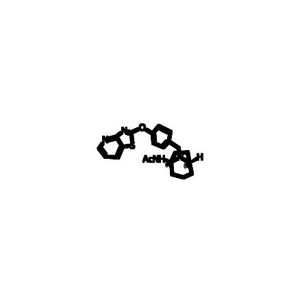 CC(=O)N[C@@]12CCC[C@@H](CC1)N2Cc1ccc(Oc2nc3ncccc3s2)cc1